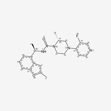 Cc1cc2c([C@@H](C)NC(=O)N3CCN(c4ccncc4F)C[C@H]3C)cccc2o1